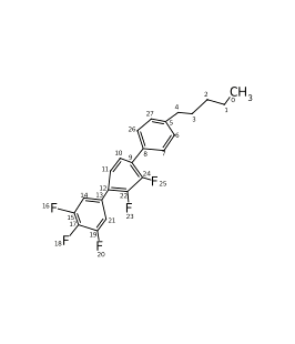 CCCCCc1ccc(-c2ccc(-c3cc(F)c(F)c(F)c3)c(F)c2F)cc1